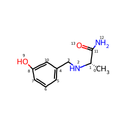 C[C@H](NCc1cccc(O)c1)C(N)=O